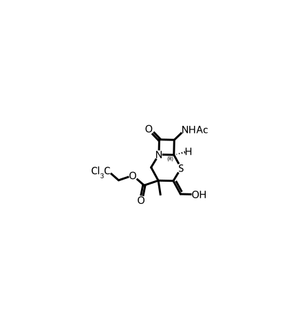 CC(=O)NC1C(=O)N2CC(C)(C(=O)OCC(Cl)(Cl)Cl)C(=CO)S[C@H]12